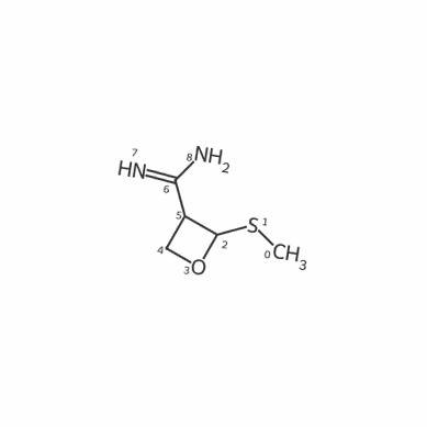 CSC1OCC1C(=N)N